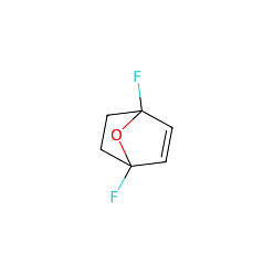 FC12C=CC(F)(CC1)O2